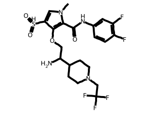 Cn1cc([SH](=O)=O)c(OCC(N)C2CCN(CC(F)(F)F)CC2)c1C(=O)Nc1ccc(F)c(F)c1